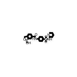 O=C(Nc1ccc(S(=O)(=O)Nc2ccccn2)cc1)c1ccc2c(c1)B(O)OC2